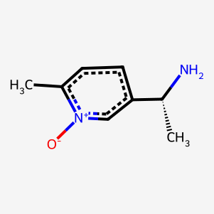 Cc1ccc([C@@H](C)N)c[n+]1[O-]